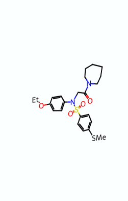 CCOc1ccc(N(CC(=O)N2CCCCCC2)S(=O)(=O)c2ccc(SC)cc2)cc1